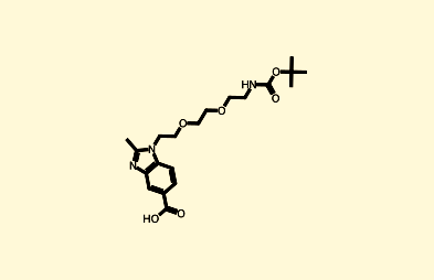 Cc1nc2cc(C(=O)O)ccc2n1CCOCCOCCNC(=O)OC(C)(C)C